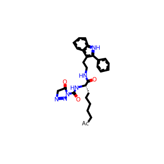 CC(=O)CCCCC[C@H](NC(=O)N1N=NCC1=O)C(=O)NCCc1c(-c2ccccc2)[nH]c2ccccc12